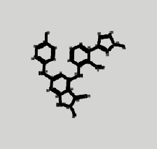 COc1c(Nc2cc(Nc3ccc(C)cn3)nc3[nH]n(C)c(=O)c23)cccc1-c1nnn(C)n1